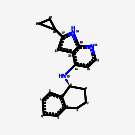 c1ccc2c(c1)CCC[C@H]2Nc1ccnc2[nH]c(C3CC3)cc12